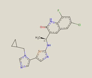 C[C@H](Nc1ncc(-c2cncn2CC2CC2)s1)c1cc2cc(Cl)cc(F)c2[nH]c1=O